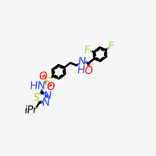 CC(C)c1nnc(NS(=O)(=O)c2ccc(CCNC(=O)c3ccc(F)cc3F)cc2)s1